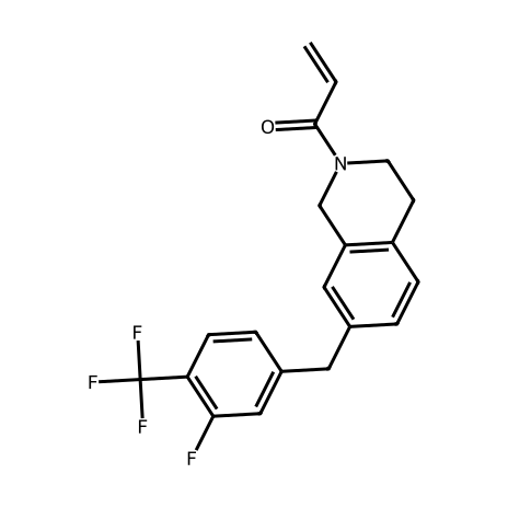 C=CC(=O)N1CCc2ccc(Cc3ccc(C(F)(F)F)c(F)c3)cc2C1